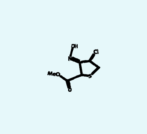 COC(=O)C1SCC(Cl)C1=NO